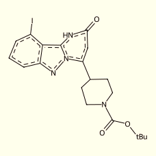 CC(C)(C)OC(=O)N1CCC(c2cc(=O)[nH]c3c4c(I)cccc4nn23)CC1